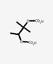 CC(OC(=O)O)C(C)(C)OC(=O)O